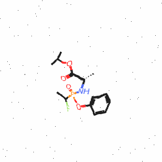 CC(C)OC(=O)[C@H](C)NP(=O)(Oc1ccccc1)C(C)F